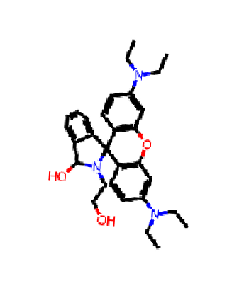 CCN(CC)c1ccc2c(c1)Oc1cc(N(CC)CC)ccc1C21c2ccccc2C(O)N1CCO